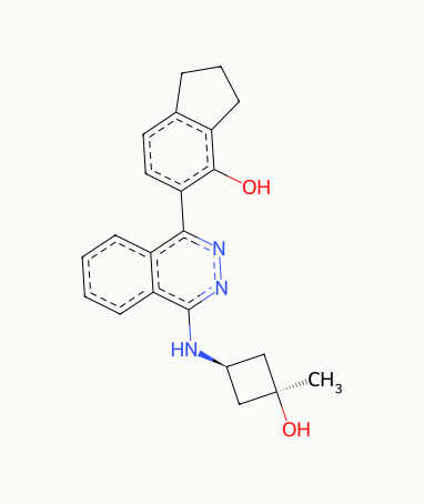 C[C@]1(O)C[C@@H](Nc2nnc(-c3ccc4c(c3O)CCC4)c3ccccc23)C1